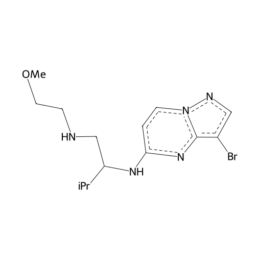 COCCNCC(Nc1ccn2ncc(Br)c2n1)C(C)C